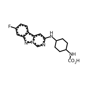 O=C(O)NC1CCC(Nc2cc3c4ccc(F)cc4nn3cn2)CC1